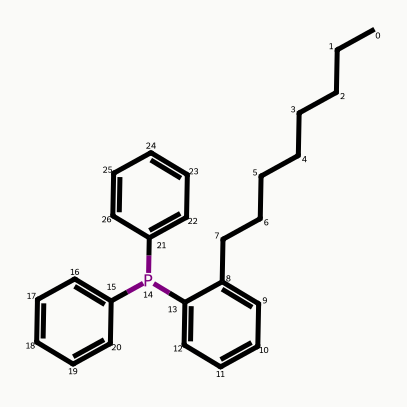 CCCCCCCCc1ccccc1P(c1ccccc1)c1ccccc1